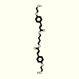 O=C(/C=C/c1ccc(OCCO)cc1)OCCCCOC(=O)/C=C/c1ccc(OCCO)cc1